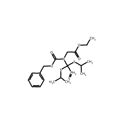 CCOC(=O)CN(C(=O)OCc1ccccc1)C([PH2]=S)(SC(C)C)SC(C)C